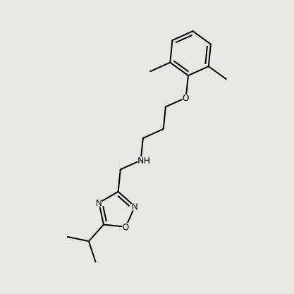 Cc1cccc(C)c1OCCCNCc1noc(C(C)C)n1